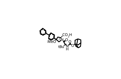 CO[C@@]1(c2ccc(-c3ccccc3)cc2)C[C@@H](C(=O)O)N(C(=O)[C@@H](NC(=O)OC23CC4CC(CC(C4)C2)C3)C(C)(C)C)C1